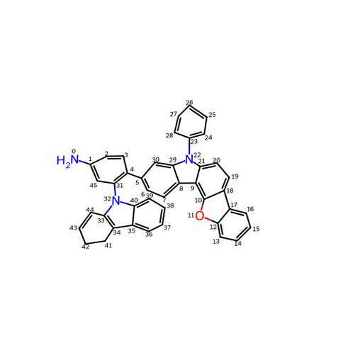 Nc1ccc(-c2ccc3c4c5oc6ccccc6c5ccc4n(-c4ccccc4)c3c2)c(-n2c3c(c4ccccc42)CCC=C3)c1